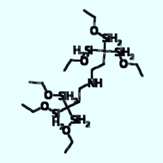 CCO[SiH2]C(CCNCCC([SiH2]OCC)([SiH2]OCC)[SiH2]OCC)([SiH2]OCC)[SiH2]OCC